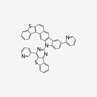 c1ccc(-c2ccc3c(c2)c2cc4ccc5sc6ccccc6c5c4cc2n3-c2nc(-c3cccnc3)c3sc4ccccc4c3n2)nc1